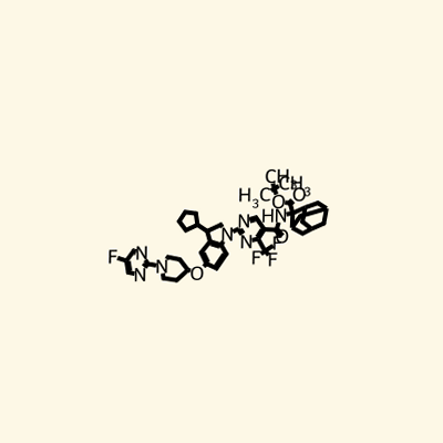 CC(C)(C)OC(=O)C1(NC(=O)c2cnc(N3CC(C4CCCC4)c4cc(OC5CCN(c6ncc(F)cn6)CC5)ccc43)nc2C(F)(F)F)C2CC3CC(C2)CC1C3